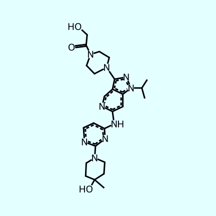 CC(C)n1nc(N2CCN(C(=O)CO)CC2)c2cnc(Nc3ccnc(N4CCC(C)(O)CC4)n3)cc21